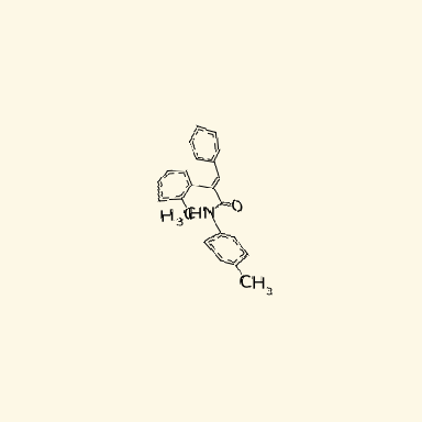 Cc1ccc(NC(=O)C(=Cc2ccccc2)c2ccccc2C)cc1